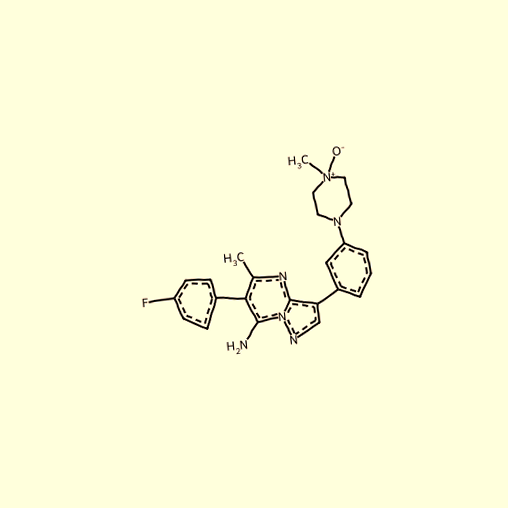 Cc1nc2c(-c3cccc(N4CC[N+](C)([O-])CC4)c3)cnn2c(N)c1-c1ccc(F)cc1